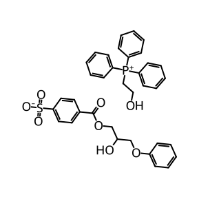 O=C(OCC(O)COc1ccccc1)c1ccc(S(=O)(=O)[O-])cc1.OCC[P+](c1ccccc1)(c1ccccc1)c1ccccc1